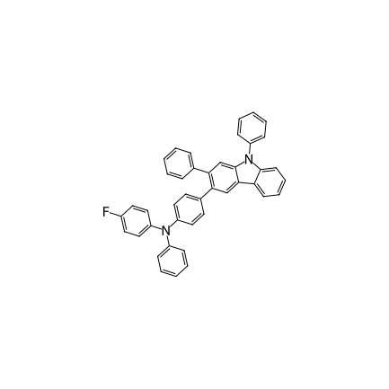 Fc1ccc(N(c2ccccc2)c2ccc(-c3cc4c5ccccc5n(-c5ccccc5)c4cc3-c3ccccc3)cc2)cc1